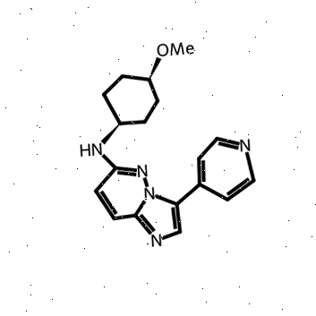 CO[C@H]1CC[C@@H](Nc2ccc3ncc(-c4ccncc4)n3n2)CC1